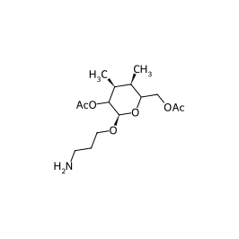 CC(=O)OCC1O[C@@H](OCCCN)C(OC(C)=O)[C@@H](C)[C@H]1C